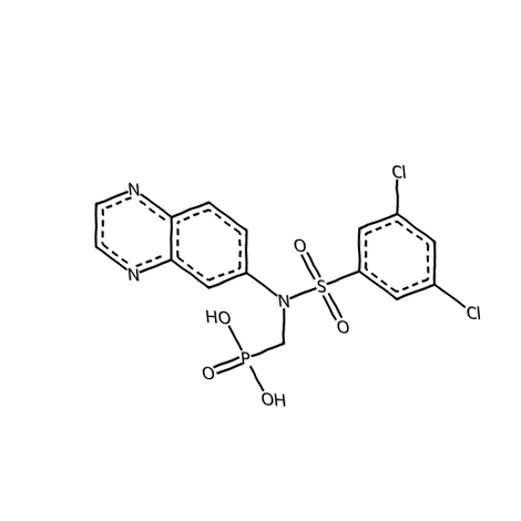 O=P(O)(O)CN(c1ccc2nccnc2c1)S(=O)(=O)c1cc(Cl)cc(Cl)c1